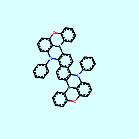 c1ccc(N2c3cccc4c3B(c3ccccc3O4)c3ccc4c5c(ccc4c32)B2c3ccccc3Oc3cccc(c32)N5c2ccccc2)cc1